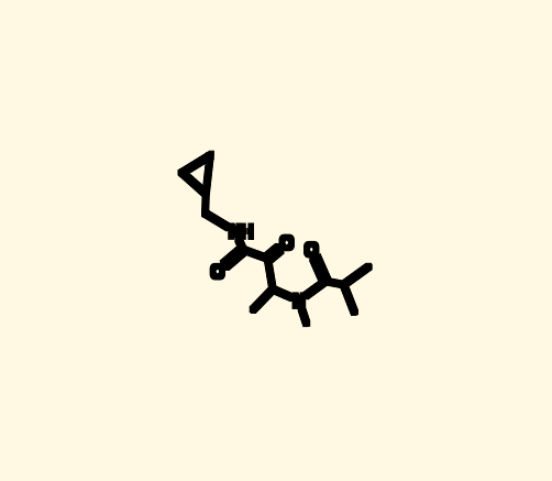 CC(C)C(=O)N(C)C(C)C(=O)C(=O)NCC1CC1